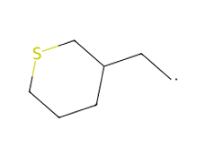 [CH2]CC1CCCSC1